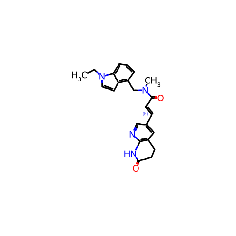 CCn1ccc2c(CN(C)C(=O)/C=C/c3cnc4c(c3)CCC(=O)N4)cccc21